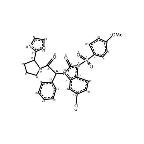 COc1ccc(S(=O)(=O)n2c(=O)n(C(C(=O)N3CCCC3c3ncco3)c3ccccc3)c3cc(Cl)ccc32)cc1